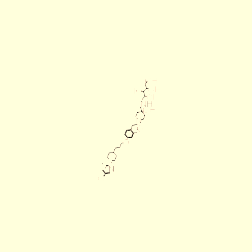 O=C(Cc1ccc(OCCCC2CCN(c3ncc(Cl)cn3)CC2)cc1F)N1CCC(O)(CNCC(O)C(O)C(O)CO)CC1